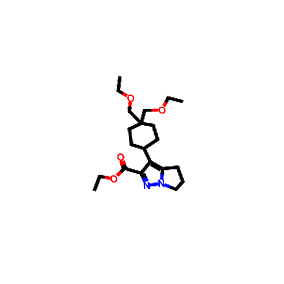 CCOCC1(COCC)CCC(c2c(C(=O)OCC)nn3c2CCC3)CC1